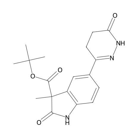 CC(C)(C)OC(=O)C1(C)C(=O)Nc2ccc(C3=NNC(=O)CC3)cc21